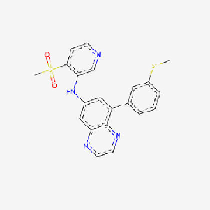 CSc1cccc(-c2cc(Nc3cnccc3S(C)(=O)=O)cc3nccnc23)c1